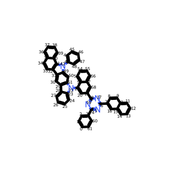 c1ccc(-c2nc(-c3ccc4ccccc4c3)nc(-c3cc(-n4c5ccccc5c5cc6c7ccc8ccccc8c7n(-c7ccccc7)c6cc54)c4ccccc4c3)n2)cc1